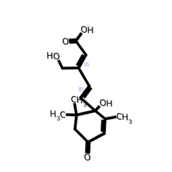 CC1=CC(=O)CC(C)(C)C1(O)/C=C/C(=C/C(=O)O)CO